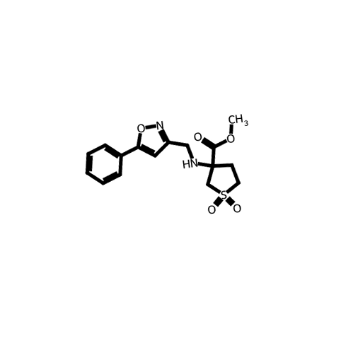 COC(=O)C1(NCc2cc(-c3ccccc3)on2)CCS(=O)(=O)C1